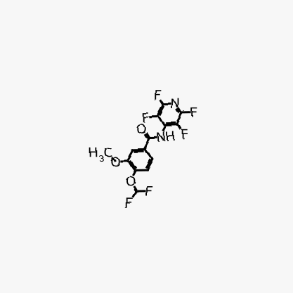 COc1cc(C(=O)Nc2c(F)c(F)nc(F)c2F)ccc1OC(F)F